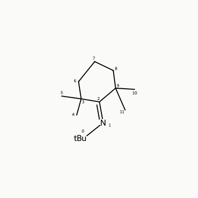 CC(C)(C)N=C1C(C)(C)CCCC1(C)C